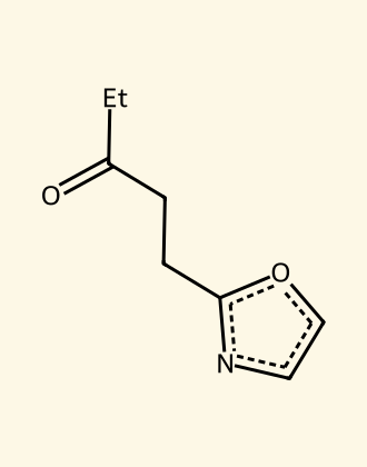 CCC(=O)CCc1ncco1